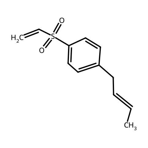 C=CS(=O)(=O)c1ccc(CC=CC)cc1